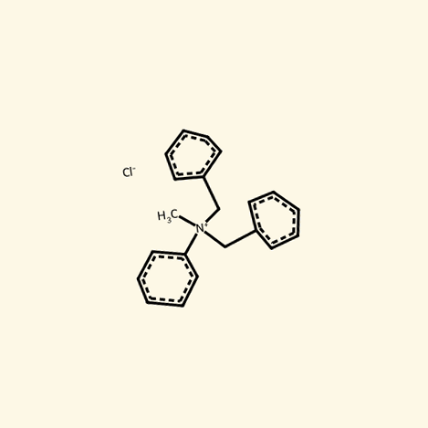 C[N+](Cc1ccccc1)(Cc1ccccc1)c1ccccc1.[Cl-]